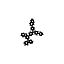 c1ccc(-c2ccc(N(c3ccc(-c4ccc5ccccc5c4)cc3)c3ccc(-c4cc(-n5c6ccccc6c6ccccc65)cc5c4oc4ccccc45)cc3)cc2)cc1